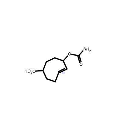 NC(=O)OC1/C=C/CCC(C(=O)O)CC1